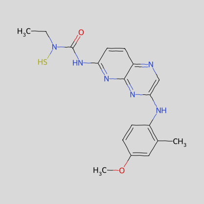 CCN(S)C(=O)Nc1ccc2ncc(Nc3ccc(OC)cc3C)nc2n1